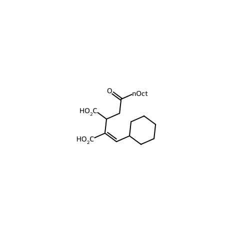 CCCCCCCCC(=O)CC(C(=O)O)C(=CC1CCCCC1)C(=O)O